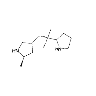 C[C@@H]1CC(CC(C)(C)C2CCCN2)CN1